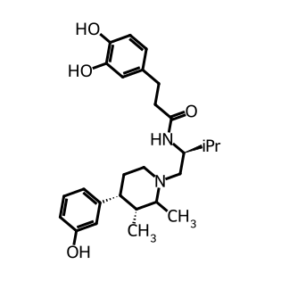 CC(C)[C@@H](CN1CC[C@@H](c2cccc(O)c2)[C@@H](C)C1C)NC(=O)CCc1ccc(O)c(O)c1